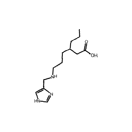 CCCC(CCCNCc1c[nH]cn1)CC(=O)O